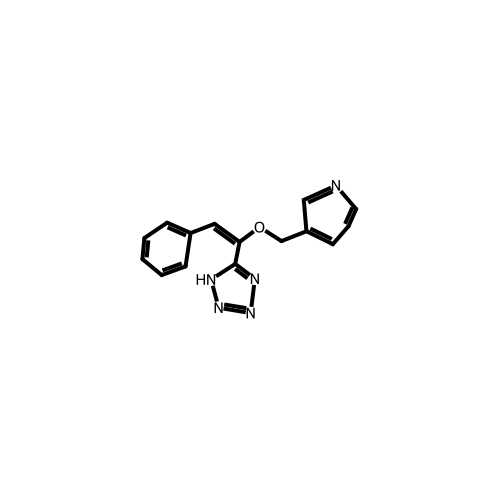 C(=C(OCc1cccnc1)c1nnn[nH]1)c1ccccc1